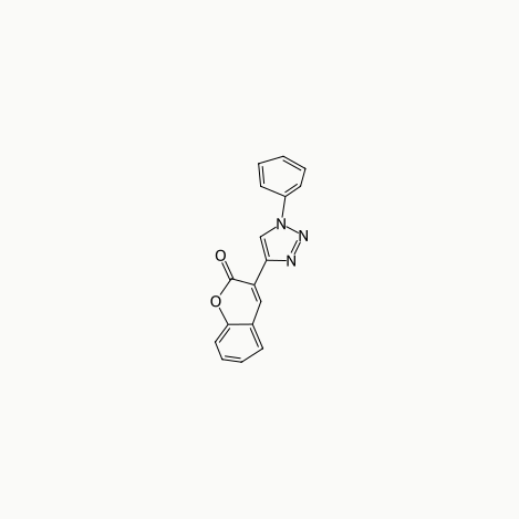 O=c1oc2ccccc2cc1-c1cn(-c2ccccc2)nn1